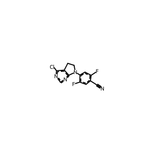 N#Cc1cc(F)c(N2CCc3c(Cl)ncnc32)cc1F